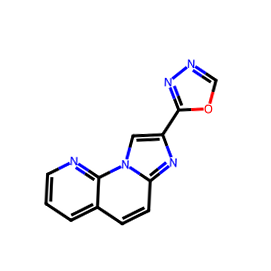 c1cnc2c(c1)ccc1nc(-c3nnco3)cn12